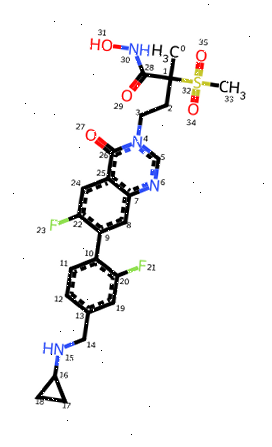 CC(CCn1cnc2cc(-c3ccc(CNC4CC4)cc3F)c(F)cc2c1=O)(C(=O)NO)S(C)(=O)=O